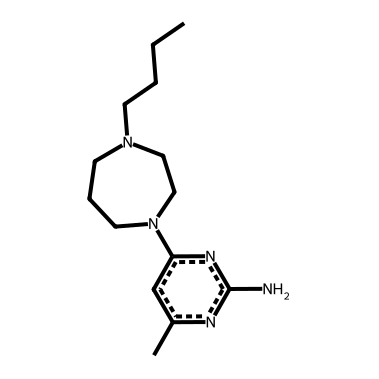 CCCCN1CCCN(c2cc(C)nc(N)n2)CC1